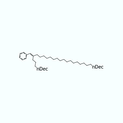 CCCCCCCCCCCCCCCCCCCCCCCCCCCC(=Cc1ccccc1)CCCCCCCCCCCCC